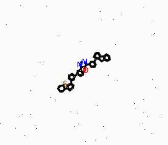 C1=CC(C2=NC=NC3c4cc(-c5cccc(-c6cccc7c6SC6C=CC=CC76)c5)ccc4OC23)CC(c2cccc3c2Cc2ccccc2-3)=C1